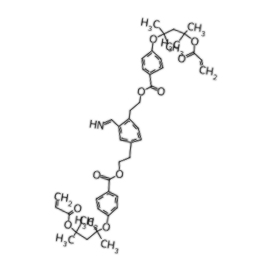 C=CC(=O)OC(C)(C)CC(C)(C)Oc1ccc(C(=O)OCCc2ccc(CCOC(=O)c3ccc(OC(C)(C)CC(C)(C)OC(=O)C=C)cc3)c(C=N)c2)cc1